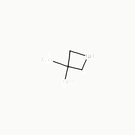 CCCCC1(OC(C)=O)CNC1